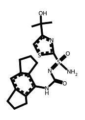 CC(C)(O)c1csc(S(N)(=O)=NC(=O)Nc2c3c(cc4c2CCC4)CCC3)n1